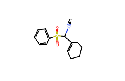 [C-]#[N+]C(C1=CCCCC1)S(=O)(=O)c1ccccc1